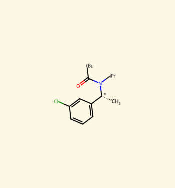 CC(C)N(C(=O)C(C)(C)C)[C@H](C)c1cccc(Cl)c1